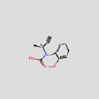 C#C[C@H](C)N(C(=O)O)c1ccccc1O